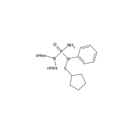 CCCCCCN(CCCCCC)P(N)(=O)N(SC1CCCC1)c1ccccc1